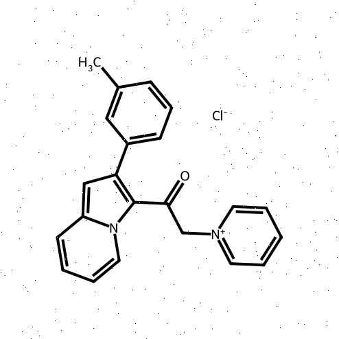 Cc1cccc(-c2cc3ccccn3c2C(=O)C[n+]2ccccc2)c1.[Cl-]